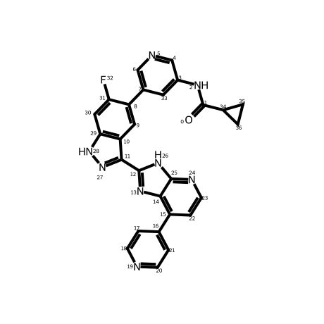 O=C(Nc1cncc(-c2cc3c(-c4nc5c(-c6ccncc6)ccnc5[nH]4)n[nH]c3cc2F)c1)C1CC1